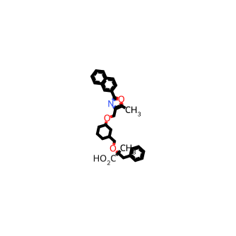 Cc1oc(-c2ccc3ccccc3c2)nc1COC1CCCC(COC(C)(Cc2ccccc2)C(=O)O)C1